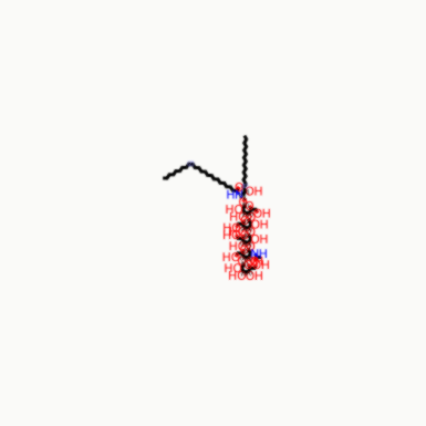 CCCCCCCC/C=C\CCCCCCCCCCCCCC(=O)N[C@@H](CO[C@@H]1OC(CO)[C@@H](O[C@@H]2OC(CO)[C@H](O)[C@H](O[C@H]3OC(CO)[C@H](O)[C@H](O[C@@H]4OC(CO)[C@@H](O[C@@H]5OC(CO)[C@H](O)[C@H](O)C5O)[C@H](O)C4NC(C)=O)C3O)C2O)[C@H](O)C1O)[C@H](O)/C=C/CCCCCCCCCCCCC